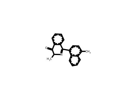 Cc1ccc(C2=NC(C)C(=O)c3ccccc32)c2ccccc12